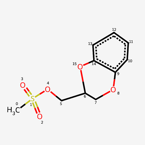 CS(=O)(=O)OCC1COc2ccccc2O1